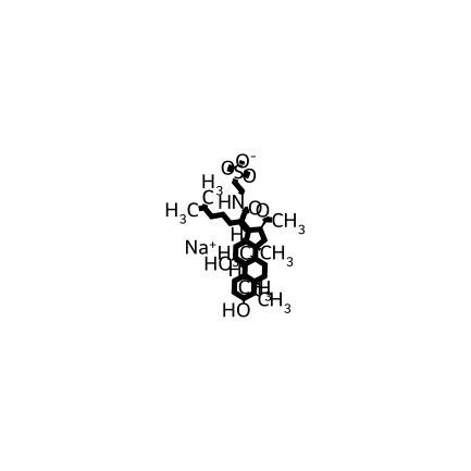 CC(=O)[C@H]1C[C@@]2(C)[C@@H](C[C@@H](O)[C@H]3[C@@]4(C)CC[C@@H](O)[C@@H](C)[C@@H]4CC[C@@]32C)/C1=C(\CCCC(C)C)C(=O)NCCS(=O)(=O)[O-].[Na+]